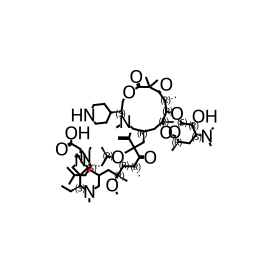 C=C(C)C(C)(C[C@H]1CN(C)[C@@H](C2CCNCC2)COC(=O)C(C)(C)C(=O)[C@H](C)[C@@H](O[C@@H]2O[C@H](C)C[C@H](N(C)C)[C@H]2O)[C@](C)(OC)C1)C(=O)[C@H](C)[C@@H](O[C@H](C)C[C@H](CC(C)C)N(C)C)[C@@](C)(CC(C)CN(C)[C@@H](CC)C1CN(CC(=O)O)C1)OC